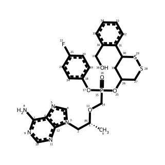 C[C@H](Cn1cnc2c(N)ncnc21)OCP(=O)(Oc1ccc(F)cc1)OC1CSSC(c2ccccc2CO)C1